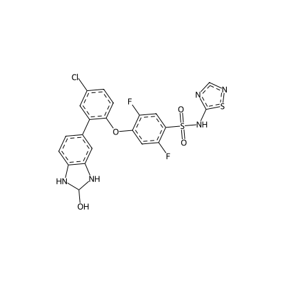 O=S(=O)(Nc1ncns1)c1cc(F)c(Oc2ccc(Cl)cc2-c2ccc3c(c2)NC(O)N3)cc1F